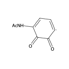 CC(=O)NC1=CC=[C]C(=O)C1=O